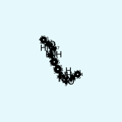 CC(C)(C)C(NC(=O)C(C)(C)C1CCCC1)c1ncc(-c2ccc(-c3ccc(-c4cnc([C@@H](NC(=O)C(C)(C)C5CCCC5)C(C)(C)C)[nH]4)cc3)cc2)[nH]1